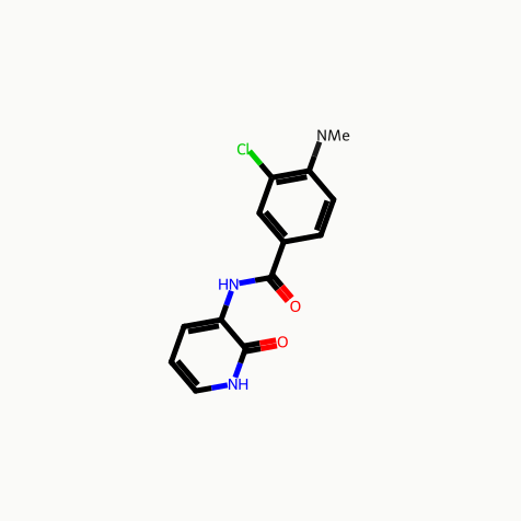 CNc1ccc(C(=O)Nc2ccc[nH]c2=O)cc1Cl